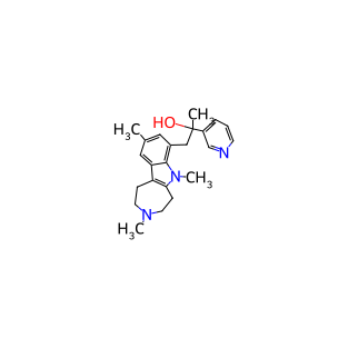 Cc1cc(CC(C)(O)c2cccnc2)c2c(c1)c1c(n2C)CCN(C)CC1